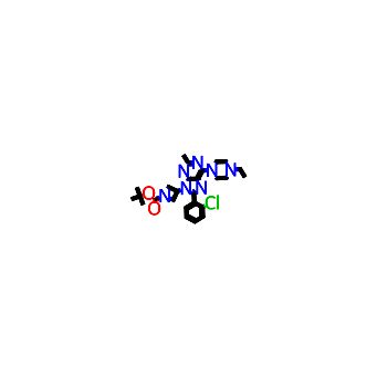 CCN1CCN(c2nc(C)nc3c2nc(-c2ccccc2Cl)n3C2CN(C(=O)OC(C)(C)C)C2)CC1